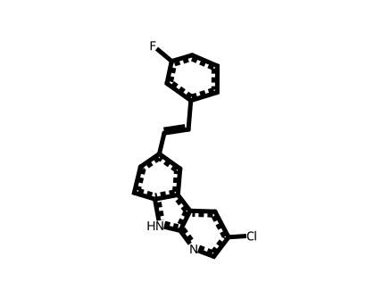 Fc1cccc(C=Cc2ccc3[nH]c4ncc(Cl)cc4c3c2)c1